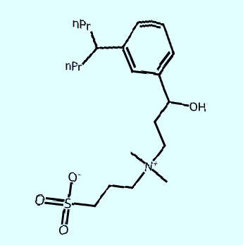 CCCC(CCC)c1cccc(C(O)CC[N+](C)(C)CCCS(=O)(=O)[O-])c1